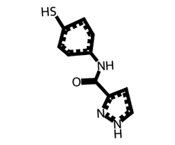 O=C(Nc1ccc(S)cc1)c1cc[nH]n1